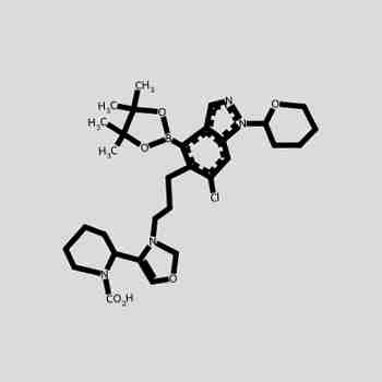 CC1(C)OB(c2c(CCCN3COC=C3C3CCCCN3C(=O)O)c(Cl)cc3c2cnn3C2CCCCO2)OC1(C)C